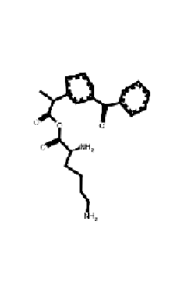 CC(C(=O)OC(=O)[C@@H](N)CCCCN)c1cccc(C(=O)c2ccccc2)c1